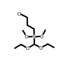 CCOC(OCC)[Si](CCCCl)(OC)OC